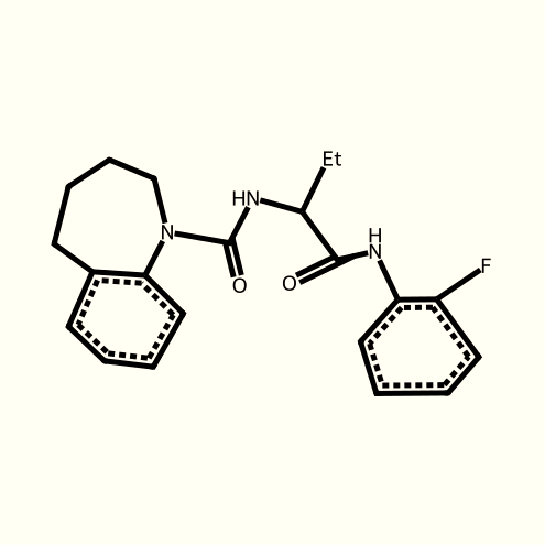 CCC(NC(=O)N1CCCCc2ccccc21)C(=O)Nc1ccccc1F